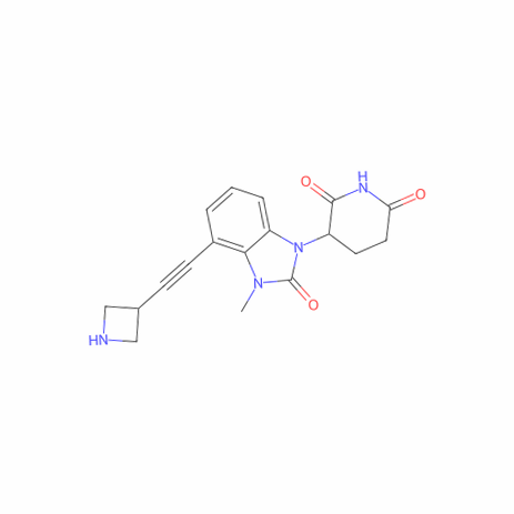 Cn1c(=O)n(C2CCC(=O)NC2=O)c2cccc(C#CC3CNC3)c21